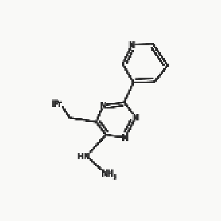 CC(C)Cc1nc(-c2cccnc2)nnc1NN